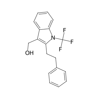 OCc1c(CCc2ccccc2)n(C(F)(F)F)c2ccccc12